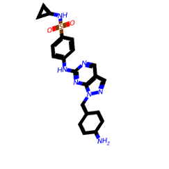 NC1CCC(Cn2ncc3cnc(Nc4ccc(S(=O)(=O)NC5CC5)cc4)nc32)CC1